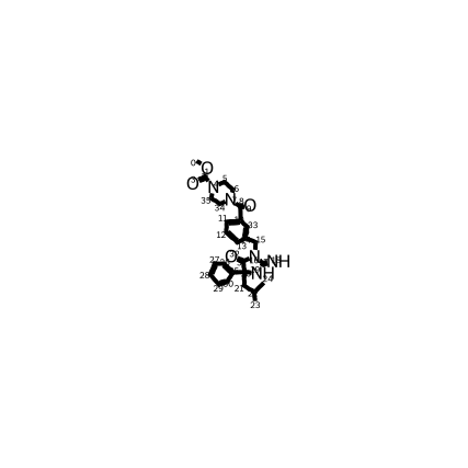 COC(=O)N1CCN(C(=O)c2cccc(CN3C(=N)NC(CC(C)C)(c4ccccc4)C3=O)c2)CC1